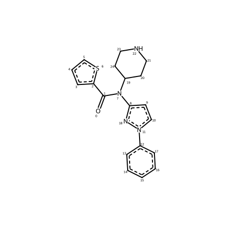 O=C(c1cccs1)N(c1ccn(-c2ccccc2)n1)C1CCNCC1